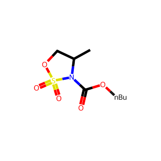 CCCCOC(=O)N1C(C)COS1(=O)=O